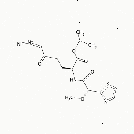 CO[C@H](C(=O)N[C@@H](CCC(=O)C=[N+]=[N-])C(=O)OC(C)C)c1nccs1